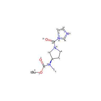 CC(C)(C)OC(=O)N(I)[C@@H]1CCN(C(=O)n2ccnc2)C1